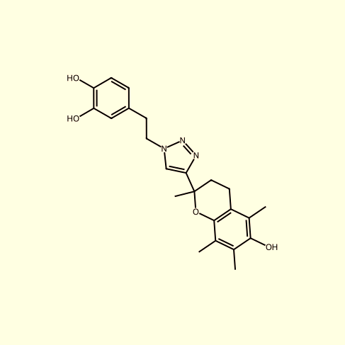 Cc1c(C)c2c(c(C)c1O)CCC(C)(c1cn(CCc3ccc(O)c(O)c3)nn1)O2